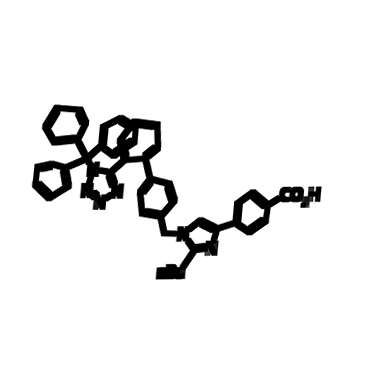 CCCCc1nc(-c2ccc(C(=O)O)cc2)cn1Cc1ccc(-c2ccccc2-c2nnnn2C(c2ccccc2)(c2ccccc2)c2ccccc2)cc1